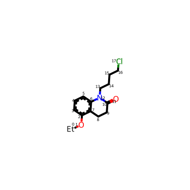 CCOc1cccc2c1CCC(=O)N2CCCCCl